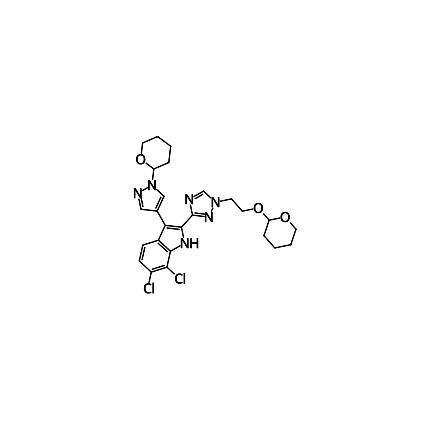 Clc1ccc2c(-c3cnn(C4CCCCO4)c3)c(-c3ncn(CCOC4CCCCO4)n3)[nH]c2c1Cl